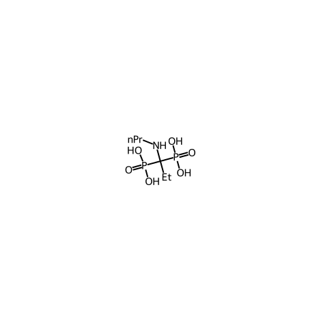 CCCNC(CC)(P(=O)(O)O)P(=O)(O)O